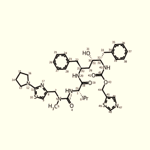 CC(C)[C@H](NC(=O)N(C)Cc1csc(N2CCCC2)n1)C(=O)N[C@@H](Cc1ccccc1)C[C@H](O)[C@H](Cc1ccccc1)NC(=O)OCc1cncs1